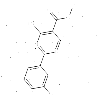 CC(C)NC(=O)c1cnc(-c2cccc(Cl)c2)nc1N